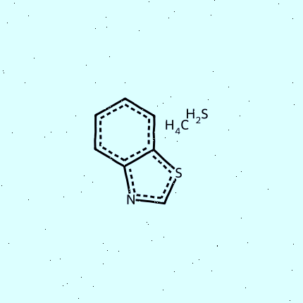 C.S.c1ccc2scnc2c1